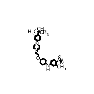 Cc1cc(NC2CCC(OCCN3CCN(c4ccc(C(C)(C)C)cc4)CC3)CC2)ccc1[N+](=O)[O-]